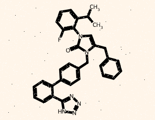 CC(C)c1cccc(F)c1-n1cc(Cc2ccccc2)n(Cc2ccc(-c3ccccc3-c3nnn[nH]3)cc2)c1=O